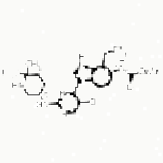 COC(=O)Nc1ccc2c(-c3nc(N[C@H]4CCC(C)(C)NC4)ncc3Cl)c[nH]c2c1CC(F)(F)F